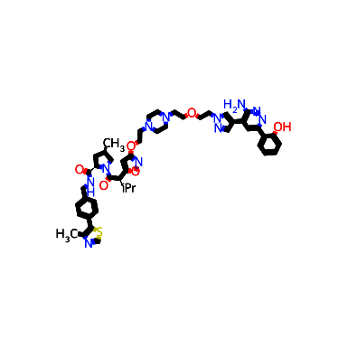 Cc1ncsc1-c1ccc(CNC(=O)[C@@H]2C[C@@H](C)CN2C(=O)[C@H](c2cc(OCCN3CCN(CCOCCn4cc(-c5cc(-c6ccccc6O)nnc5N)cn4)CC3)no2)C(C)C)cc1